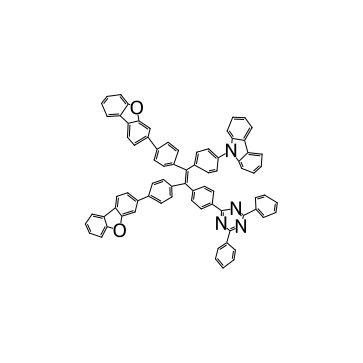 c1ccc(-c2nc(-c3ccccc3)nc(-c3ccc(/C(=C(/c4ccc(-c5ccc6c(c5)oc5ccccc56)cc4)c4ccc(-n5c6ccccc6c6ccccc65)cc4)c4ccc(-c5ccc6c(c5)oc5ccccc56)cc4)cc3)n2)cc1